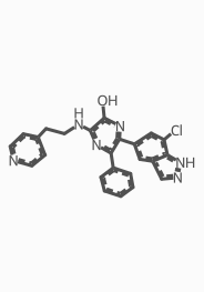 Oc1nc(-c2cc(Cl)c3[nH]ncc3c2)c(-c2ccccc2)nc1NCCc1ccncc1